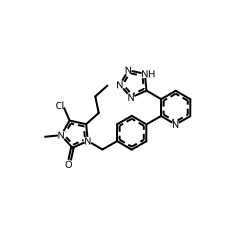 CCCc1c(Cl)n(C)c(=O)n1Cc1ccc(-c2ncccc2-c2nnn[nH]2)cc1